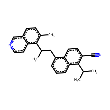 Cc1ccc2cnccc2c1C(C)Cc1cccc2c(C(C)C)c(C#N)ccc12